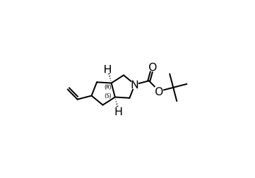 C=CC1C[C@@H]2CN(C(=O)OC(C)(C)C)C[C@@H]2C1